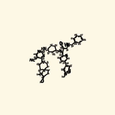 CN1C(=O)CCC12CCN(c1nc(N[C@H]3CC[C@H](N(C(=O)CNCc4ccccc4)c4ccc(-c5cnn(C)c5)cn4)CC3)ncc1C#N)CC2